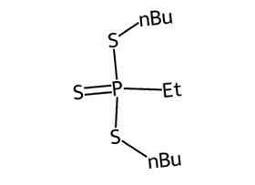 CCCCSP(=S)(CC)SCCCC